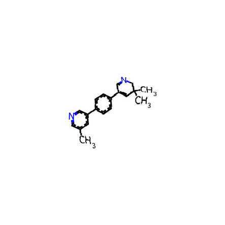 Cc1cncc(-c2ccc(C3=CC(C)(C)CN=C3)cc2)c1